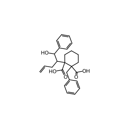 C=CCC(C(O)c1ccccc1)C1(C(=O)O)CCCCC1(Cc1ccccc1)C(=O)O